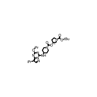 CC(C)Oc1nc(NC2CCN(C(=O)O[C@H]3CCN(C(=O)OC(C)(C)C)C3)CC2)n2ncc(C(C)C)c2n1